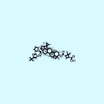 CC(C)(C)c1c[nH]c([C@@H]2CCCN2C(=O)[C@]23CC[C@@](C)(C4(C)CC4)[C@H]2[C@H]2CC[C@@H]4[C@H]5CC[C@H](OC(=O)[C@H]6C[C@@H](C(=O)O)C6(C)C)C(C)(C)[C@@H]5CC[C@@]4(C)[C@]2(C)CC3)n1